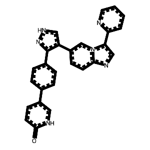 O=c1ccc(-c2ccc(-c3n[nH]cc3-c3ccc4ncc(-c5ccccn5)n4c3)cc2)c[nH]1